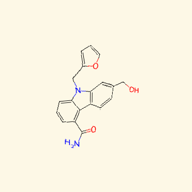 NC(=O)c1cccc2c1c1[c]cc(CO)cc1n2Cc1ccco1